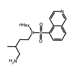 CCCCCCN(CCC(C)CN)S(=O)(=O)c1cccc2cnccc12